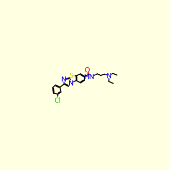 CCN(CC)CCCNC(=O)c1ccc2c(c1)sc1nc(-c3cccc(Cl)c3)cn12